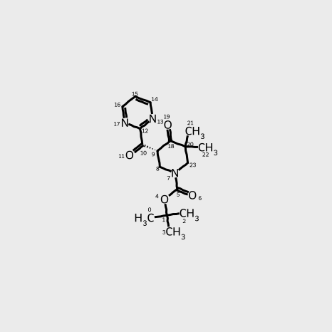 CC(C)(C)OC(=O)N1C[C@H](C(=O)c2ncccn2)C(=O)C(C)(C)C1